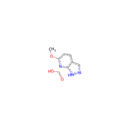 COc1ccc2cn[nH]c2n1.O=CO